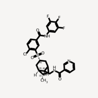 C[C@H]1CC2C[C@@H](S(=O)(=O)c3cc(C(=O)Nc4cc(F)c(F)c(F)c4)ccc3Cl)C[C@H]1[C@@]2(O)CNC(=O)c1cccnc1